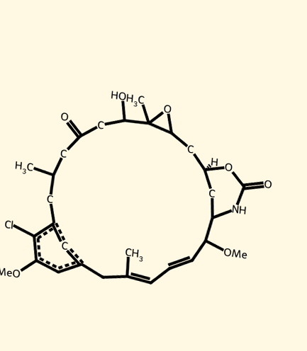 COc1cc2cc(c1Cl)CC(C)CC(=O)CC(O)C1(C)OC1C[C@@H]1CC(NC(=O)O1)C(OC)/C=C/C=C(\C)C2